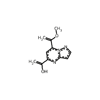 C=C(O)c1cc(C(=C)OC)n2nccc2n1